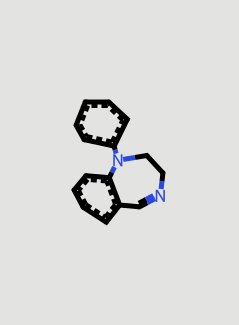 C1=NCCN(c2ccccc2)c2ccccc21